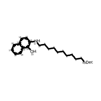 CCCCCCCCCCCCCCCCCCCCNc1ccc2ccccc2c1O